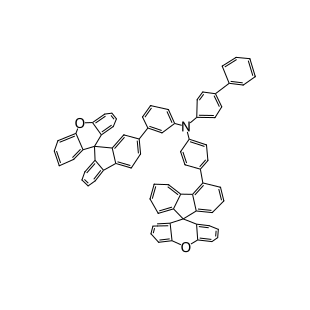 c1ccc(-c2ccc(N(c3ccc(-c4cccc5c4-c4ccccc4C54c5ccccc5Oc5ccccc54)cc3)c3cccc(-c4ccc5c(c4)C4(c6ccccc6Oc6ccccc64)c4ccccc4-5)c3)cc2)cc1